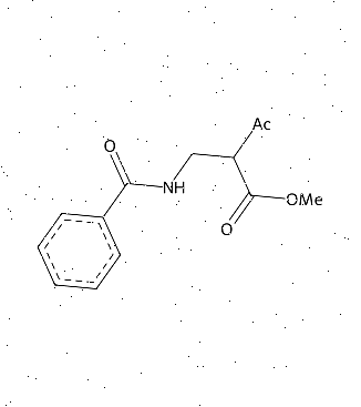 COC(=O)C(CNC(=O)c1ccccc1)C(C)=O